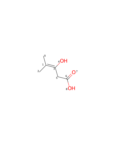 CC(C)=C(O)CC(=O)O